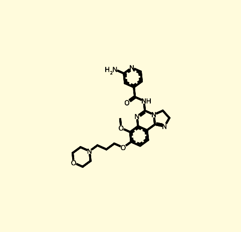 COc1c(OCCCN2CCOCC2)ccc2c1N=C(NC(=O)c1ccnc(N)c1)N1CCN=C21